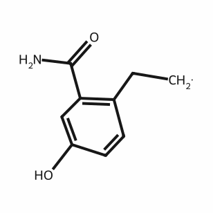 [CH2]Cc1ccc(O)cc1C(N)=O